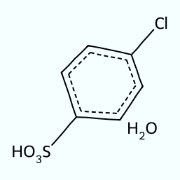 O.O=S(=O)(O)c1ccc(Cl)cc1